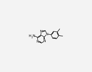 Cc1ccc(-n2cnc3c(N)ncnc32)cc1C